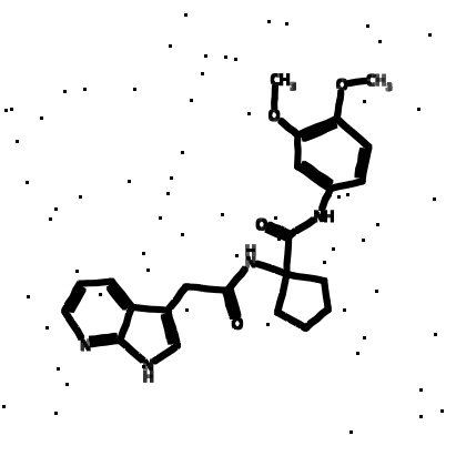 COc1ccc(NC(=O)C2(NC(=O)Cc3c[nH]c4ncccc34)CCCC2)cc1OC